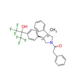 C[C@]1(c2ccccc2)CN(C(=O)Cc2ccccc2)C[C@H]1c1ccc(C(O)(C(F)(F)F)C(F)(F)F)cc1